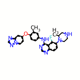 Cc1cc(Nc2ncnc3ccc(N4CCNCC4C)c(F)c23)ccc1Oc1ccn2ncnc2c1